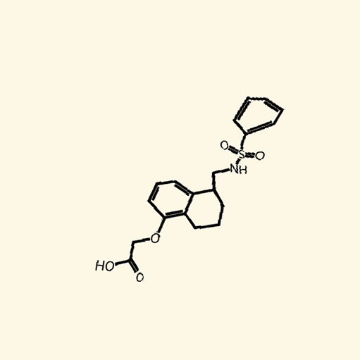 O=C(O)COc1cccc2c1CCCC2CNS(=O)(=O)c1ccccc1